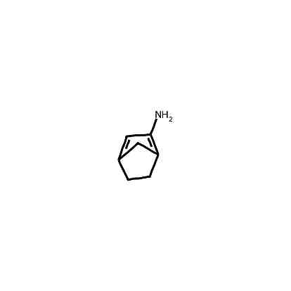 NC1=C2CCC(=C1)C2